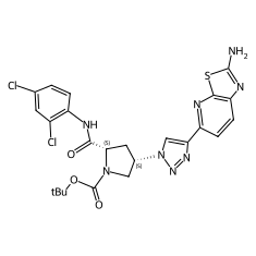 CC(C)(C)OC(=O)N1C[C@@H](n2cc(-c3ccc4nc(N)sc4n3)nn2)C[C@H]1C(=O)Nc1ccc(Cl)cc1Cl